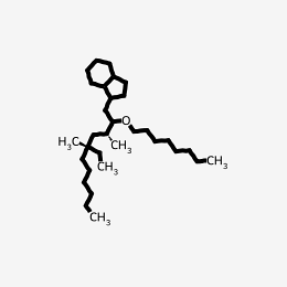 CCCCCCCCOC(CC1CCC2CCCCC21)[C@H](C)C[C@](C)(CC)CCCCCC